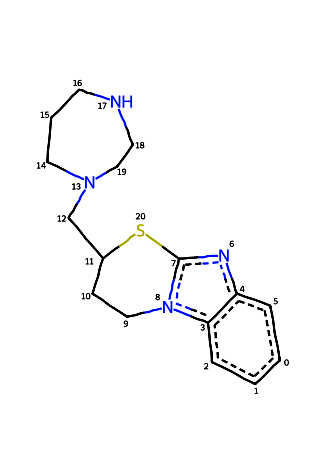 c1ccc2c(c1)nc1n2CCC(CN2CCCNCC2)S1